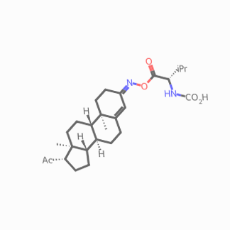 CC(=O)[C@H]1CC[C@H]2[C@@H]3CCC4=CC(=NOC(=O)[C@@H](NC(=O)O)C(C)C)CC[C@]4(C)[C@H]3CC[C@]12C